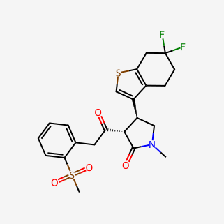 CN1C[C@H](c2csc3c2CCC(F)(F)C3)[C@@H](C(=O)Cc2ccccc2S(C)(=O)=O)C1=O